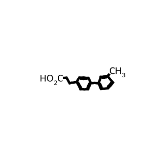 Cc1cccc(-c2ccc(CCC(=O)O)cc2)c1